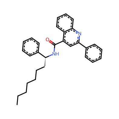 CCCCCCC[C@@H](NC(=O)c1cc(-c2ccccc2)nc2ccccc12)c1ccccc1